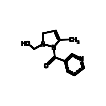 CC1=CCN(CO)N1C(=O)c1cccnc1